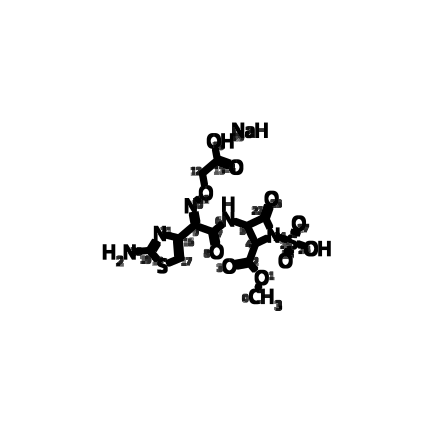 COC(=O)C1C(NC(=O)/C(=N\OCC(=O)O)c2csc(N)n2)C(=O)N1S(=O)(=O)O.[NaH]